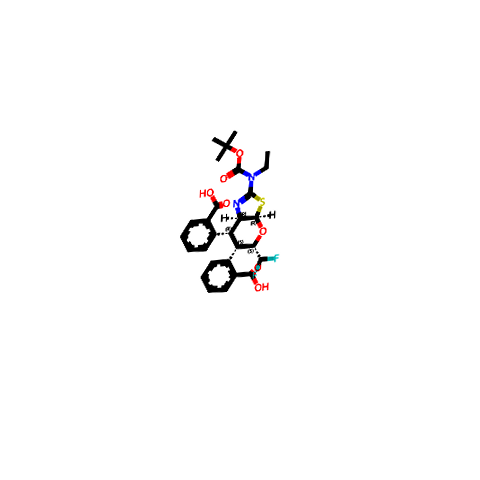 CCN(C(=O)OC(C)(C)C)C1=N[C@@H]2[C@@H](c3ccccc3C(=O)O)[C@@H](c3ccccc3C(=O)O)[C@@H](C(F)F)O[C@@H]2S1